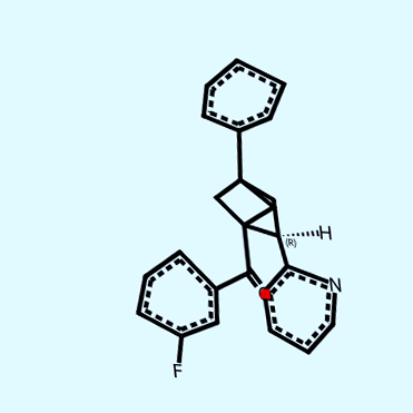 O=C(c1cccc(F)c1)C12CC(c3ccccc3)(C[C@H]1c1ccccn1)C2